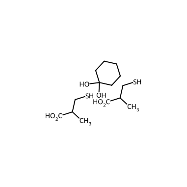 CC(CS)C(=O)O.CC(CS)C(=O)O.OC1(O)CCCCC1